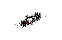 Nc1ncnc2c1ncn2[C@H]1[C@H](O)[C@@H]2O[PH](=O)OC[C@H]3O[C@@H](n4cnc5c(N)ncnc54)[C@H](O[P@](=O)(S)OCC24C[C@H]14)[C@@H]3O